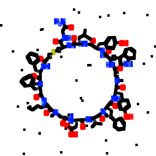 CCCC[C@@H]1NC(=O)[C@H](Cc2ccccc2)N(C)C(=O)[C@H](Cc2ccccc2)NC(=O)CSC[C@@H](C(=O)NCC(N)=O)NC(=O)[C@H](CC(C)C)NC(=O)[C@H](Cc2ccc(O)cc2)NC(=O)[C@H](Cc2c[nH]c3ccccc23)NC(=O)CN(C)C(=O)[C@H](Cc2ccc(O)cc2)NC(=O)[C@H](CCc2ccccc2)N(C)C(=O)[C@H](C(C)C)NC(=O)[C@H](CC(=O)O)NC(=O)CN(C)C1=O